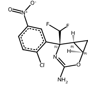 NC1=N[C@@](c2cc([N+](=O)[O-])ccc2Cl)(C(F)F)[C@H]2C[C@H]2O1